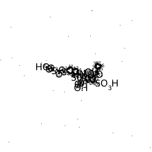 O=C(CSOOO)OSc1ccc2ccc(/N=N/c3c(SOOO)cc4cc(S(=O)(=O)O)cc(NC(=O)c5ccccc5)c4c3O)c(S(=O)(=O)O)c2c1